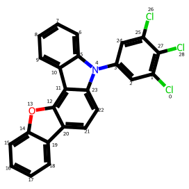 Clc1cc(-n2c3ccccc3c3c4oc5ccccc5c4ccc32)cc(Cl)c1Cl